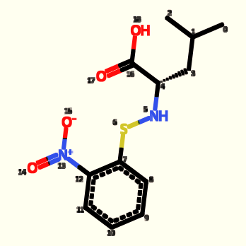 CC(C)C[C@H](NSc1ccccc1[N+](=O)[O-])C(=O)O